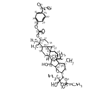 CC(=O)O[C@@H](C1C[C@@H](C)C2C(O1)[C@H](O)C1(C)[C@@H]3CCC4C(C)(C)[C@@H](OC(=O)Oc5ccc([N+](=O)[O-])cc5)CC[C@@]45CC35CC[C@]21C)C(C)(C)O